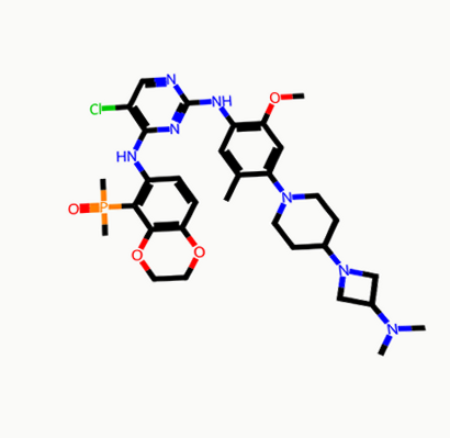 COc1cc(N2CCC(N3CC(N(C)C)C3)CC2)c(C)cc1Nc1ncc(Cl)c(Nc2ccc3c(c2P(C)(C)=O)OCCO3)n1